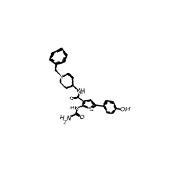 NC(=O)Nc1sc(-c2ccc(O)cc2)cc1C(=O)NC1CCN(Cc2ccccc2)CC1